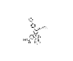 CC(C)(C)c1cc(C(=O)O)ccc1-c1ccc(OCCO)c(-c2ccc(N3CCCC3)cc2)c1